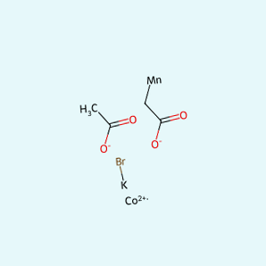 CC(=O)[O-].O=C([O-])[CH2][Mn].[Co+2].[K][Br]